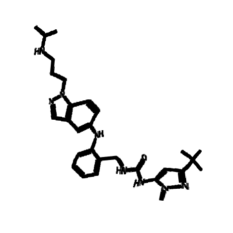 CC(C)NCCCn1ncc2cc(Nc3ccccc3CNC(=O)Nc3cc(C(C)(C)C)nn3C)ccc21